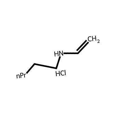 C=CNCCCCC.Cl